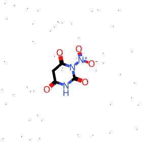 O=C1CC(=O)N([N+](=O)[O-])C(=O)N1